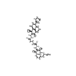 CC(C)c1cc2c3c(cccc3c1)C(=O)N(CCN(C)CCCN(C)CCN1C(=O)c3cccc4c(-n5ccnc5)ccc(c34)C1=O)C2=O